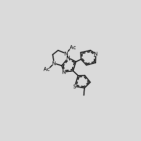 CC(=O)N1CCN(C(C)=O)n2c1nc(-c1ccc(C)s1)c2-c1ccncc1